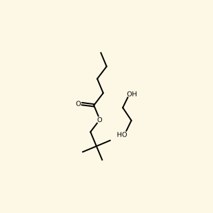 CCCCC(=O)OCC(C)(C)C.OCCO